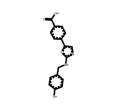 O=C(O)c1ccc(-c2cnc(NCc3ccc(O)cc3)s2)cc1